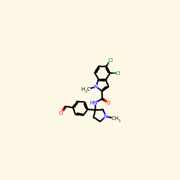 CN1CCC(NC(=O)c2cc3c(Cl)c(Cl)ccc3n2C)(c2ccc(C=O)cc2)C1